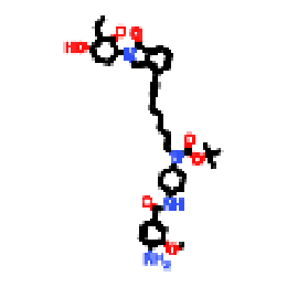 CCC1C(=O)C(N2Cc3c(C#CCCCCCN(C(=O)OC(C)(C)C)C4CCC(NC(=O)c5ccc(N)c(OC)c5)CC4)cccc3C2=O)CCC1O